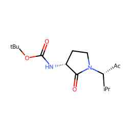 CC(=O)[C@H](C(C)C)N1CC[C@@H](NC(=O)OC(C)(C)C)C1=O